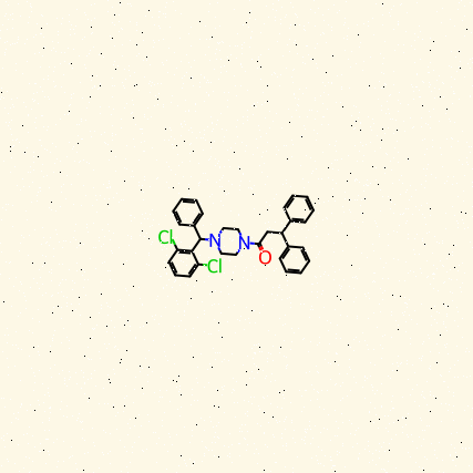 O=C(CC(c1ccccc1)c1ccccc1)N1CCN(C(c2ccccc2)c2c(Cl)cccc2Cl)CC1